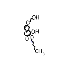 CCCC/C=C/Oc1c(O)c2cc(OCCO)ccc2oc1=O